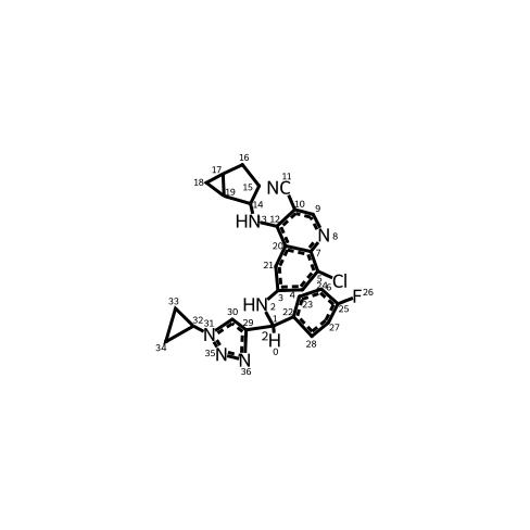 [2H]C(Nc1cc(Cl)c2ncc(C#N)c(NC3CCC4CC43)c2c1)(c1ccc(F)cc1)c1cn(C2CC2)nn1